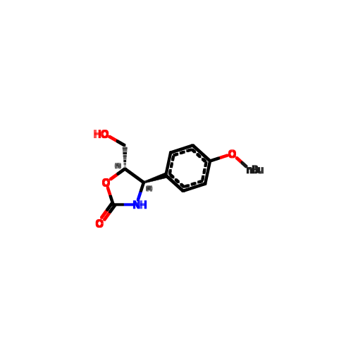 CCCCOc1ccc([C@H]2NC(=O)O[C@@H]2CO)cc1